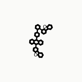 c1ccc(-c2cccc3c2oc2ccccc23)c(-c2ccc(-c3c4ccccc4c(-c4ccc5oc6ccccc6c5c4)c4ccccc34)cc2)c1